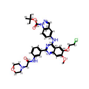 COc1cc2nc(-c3cccc(NC(=O)CN4CCOCC4)c3)nc(Nc3ccc4c(cnn4C(=O)OC(C)(C)C)c3)c2cc1OCCCl